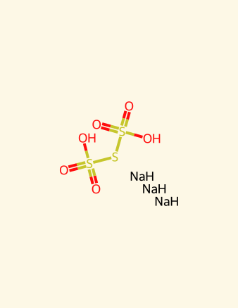 O=S(=O)(O)SS(=O)(=O)O.[NaH].[NaH].[NaH]